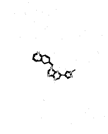 Cn1cc(-c2cnc3ncn(C=C4C=Cc5ncccc5C4)c3n2)cn1